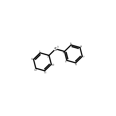 C1=CC(Sc2ccccc2)C=CC1